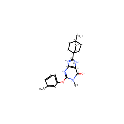 CCCn1c(Oc2cccc(OC)c2)nc2nc(C34CCC(C(=O)O)(CC3)CC4)[nH]c2c1=O